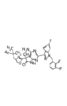 CC(=O)C(C)(C)Cc1coc(C2(C)C(=O)Nc3nc(-c4nn(Cc5cccc(F)c5F)c5cc(F)ccc45)nc(N)c32)n1